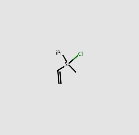 C=C[Si](C)(Cl)C(C)C